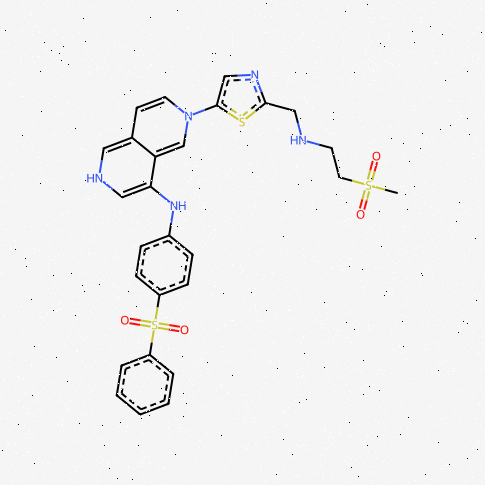 CS(=O)(=O)CCNCc1ncc(N2C=CC3=CNC=C(Nc4ccc(S(=O)(=O)c5ccccc5)cc4)C3=C2)s1